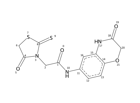 O=C(CN1C(=O)CSC1=S)Nc1ccc2c(c1)NC(=O)CO2